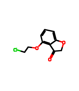 O=C1COc2cccc(OCCCl)c21